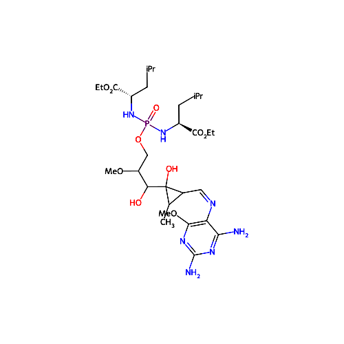 CCOC(=O)[C@H](CC(C)C)NP(=O)(N[C@@H](CC(C)C)C(=O)OCC)OCC(OC)C(O)C1(O)C(C)C1/C=N\c1c(N)nc(N)nc1OC